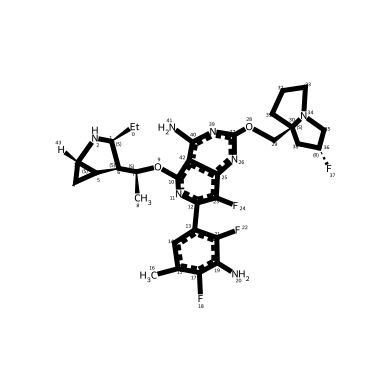 CC[C@@H]1N[C@H]2CC2[C@@H]1[C@H](C)Oc1nc(-c2cc(C)c(F)c(N)c2F)c(F)c2nc(OC[C@@]34CCCN3C[C@H](F)C4)nc(N)c12